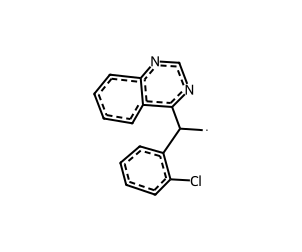 [CH2]C(c1ccccc1Cl)c1ncnc2ccccc12